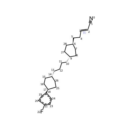 N#C/C=C/CC[C@H]1CC[C@H](CCCC[C@H]2CC[C@H](c3ccc(F)cc3)CC2)CC1